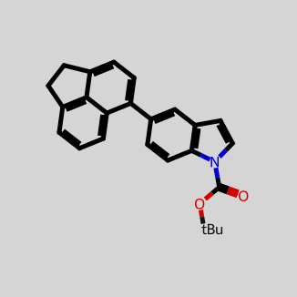 CC(C)(C)OC(=O)n1ccc2cc(-c3ccc4c5c(cccc35)CC4)ccc21